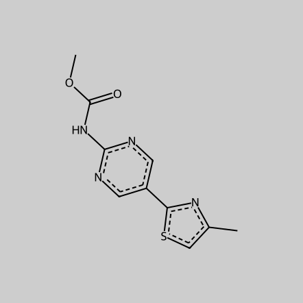 COC(=O)Nc1ncc(-c2nc(C)cs2)cn1